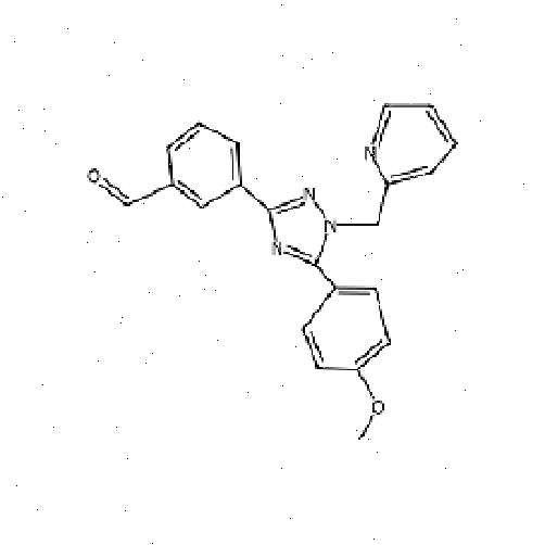 COc1ccc(-c2nc(-c3cccc(C=O)c3)nn2Cc2ccccn2)cc1